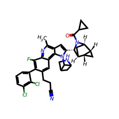 Cc1nc2c(F)c(-c3cccc(Cl)c3Cl)c(CCC#N)cc2c2c1cc([C@H]1[C@H]3C[C@H]([C@@H]4C[C@@H]43)N1C(=O)C1CC1)n2C1C2CNC1C2